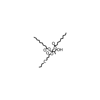 CCCCCCCCC(=O)OCC(COC(=O)CCCCCCCC)(OC(=O)CCCCCCCC)C(C)CO